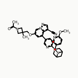 COc1ccc(CN2C3CC2CN(c2ccc(-c4cc(OCC5(C)CN(C(C)=O)C5)cn5ncc(C#N)c45)cn2)C3)cn1